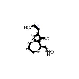 C/C=C\c1nn2c(c1CC)C(CNCC)OCCC2